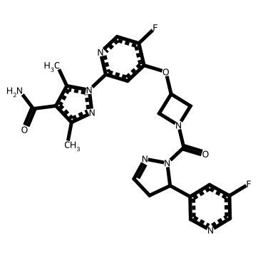 Cc1nn(-c2cc(OC3CN(C(=O)N4N=CCC4c4cncc(F)c4)C3)c(F)cn2)c(C)c1C(N)=O